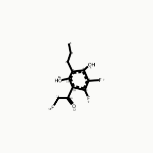 CCCc1c(O)c(F)c(F)c(C(=O)CF)c1O